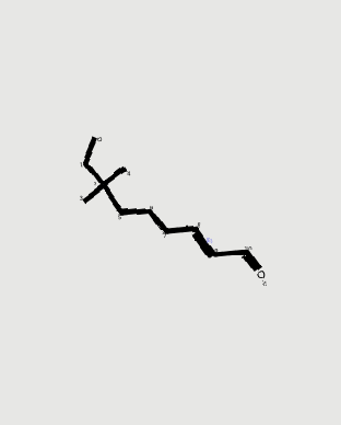 CCC(C)(C)CCC/C=C/C=O